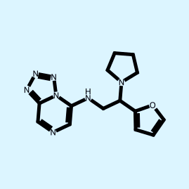 c1coc(C(CNc2cncc3nnnn23)N2CCCC2)c1